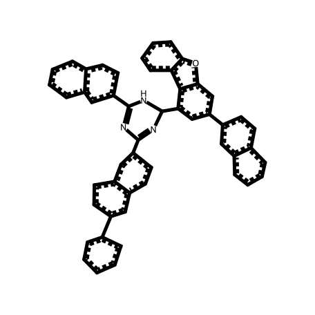 c1ccc(-c2ccc3cc(C4=NC(c5cc(-c6ccc7ccccc7c6)cc6oc7ccccc7c56)NC(c5ccc6ccccc6c5)=N4)ccc3c2)cc1